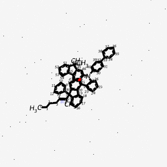 CCCC/C=C(\C)C1(c2ccccc2)c2ccccc2-c2c(-c3ccccc3N(c3ccc(-c4ccccc4)cc3)c3ccc4c(c3)C(C)(C)c3ccccc3-4)cccc21